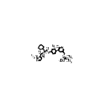 Cc1ncc(CO[Si](C)(C)C(C)(C)C)cc1-c1ccc(NC(=O)[C@@H](NC(=O)c2ccnn2C)C2CCCCC2)cc1